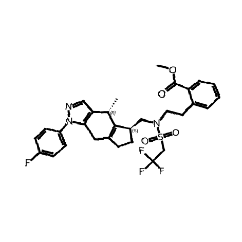 COC(=O)c1ccccc1CCN(C[C@H]1CCC2=C1[C@@H](C)c1cnn(-c3ccc(F)cc3)c1C2)S(=O)(=O)CC(F)(F)F